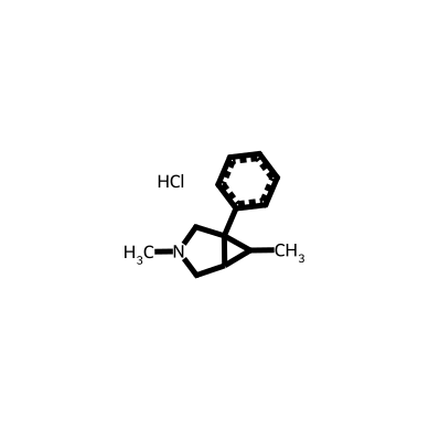 CC1C2CN(C)CC12c1ccccc1.Cl